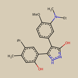 CCN(C)c1cc(-c2c(O)n[nH]c2-c2cc(C(C)C)c(C)cc2O)ccc1OC